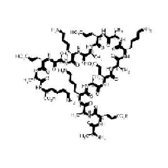 C[C@H](N)C(=O)N[C@@H](CCC(=O)O)C(=O)N[C@@H](C)C(=O)N[C@@H](CCCCN)C(=O)N[C@@H](C)C(=O)N[C@@H](CCC(=O)O)C(=O)N[C@@H](C)C(=O)N[C@@H](CCCCN)C(=O)N[C@@H](C)C(=O)N[C@@H](CCC(=O)O)C(=O)N[C@@H](C)C(=O)N[C@@H](CCCCN)C(=O)N[C@@H](C)C(=O)N[C@@H](CCC(=O)O)C(=O)N[C@@H](C)C(=O)N[C@@H](CCCCN)C(=O)O